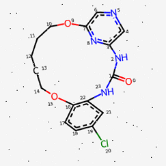 O=C1Nc2cncc(n2)OCCCCCOc2ccc(Cl)cc2N1